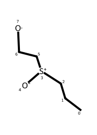 CCC[S+]([O-])CC[O]